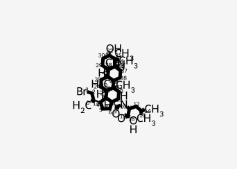 C=C(CBr)[C@@H]1CC[C@]2(C(=O)NC(CC(C)C)C(=O)O)CC[C@]3(C)[C@H](CC[C@@H]4[C@@]5(C)CC[C@H](O)C(C)(C)[C@@H]5CC[C@]43C)[C@@H]12